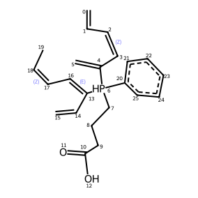 C=C/C=C\C(=C)[PH](CCCC(=O)O)(/C(C=C)=C/C=C\C)c1ccccc1